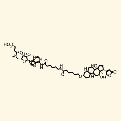 CN(CCCC(=O)O)C[C@H]1O[C@@H](n2cnc3c(NC(=O)CCCCCNC(=O)CCCCCO[C@@H]4CC[C@@]5(C)[C@H](CCC6[C@@H]5C[C@@H](O)[C@]5(C)[C@@H](C7=CC(=O)OC7)CC[C@]65O)C4)ncnc32)[C@H](O)[C@@H]1O